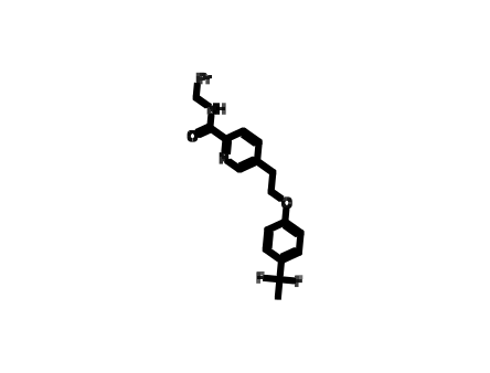 CC(C)CNC(=O)c1ccc(CCOc2ccc(C(C)(F)F)cc2)cn1